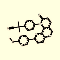 COc1ccc(-c2ccc3ncc4ccc(=O)n(-c5ccc(C(C)(C)C#N)cc5)c4c3n2)cn1